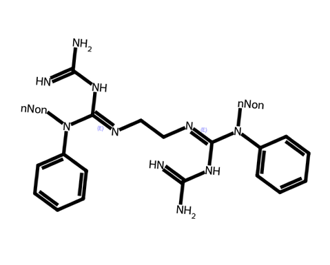 CCCCCCCCCN(/C(=N/CC/N=C(\NC(=N)N)N(CCCCCCCCC)c1ccccc1)NC(=N)N)c1ccccc1